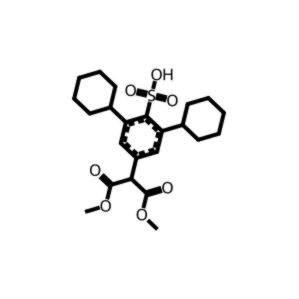 COC(=O)C(C(=O)OC)c1cc(C2CCCCC2)c(S(=O)(=O)O)c(C2CCCCC2)c1